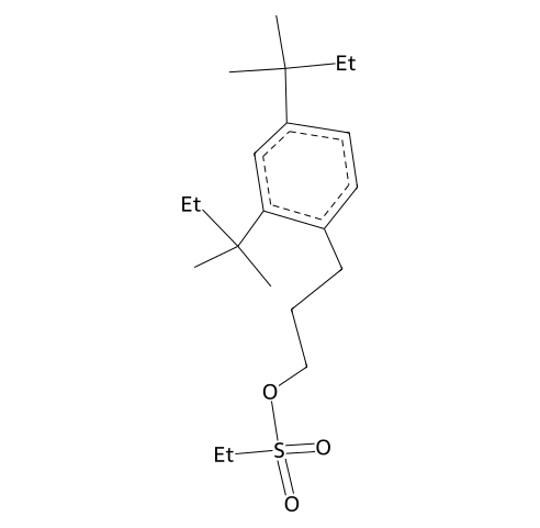 CCC(C)(C)c1ccc(CCCOS(=O)(=O)CC)c(C(C)(C)CC)c1